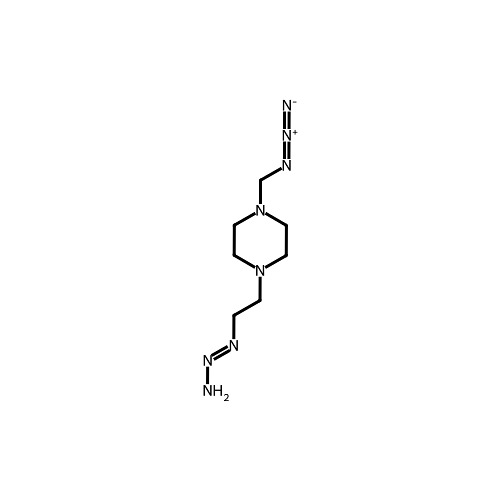 [N-]=[N+]=NCN1CCN(CCN=NN)CC1